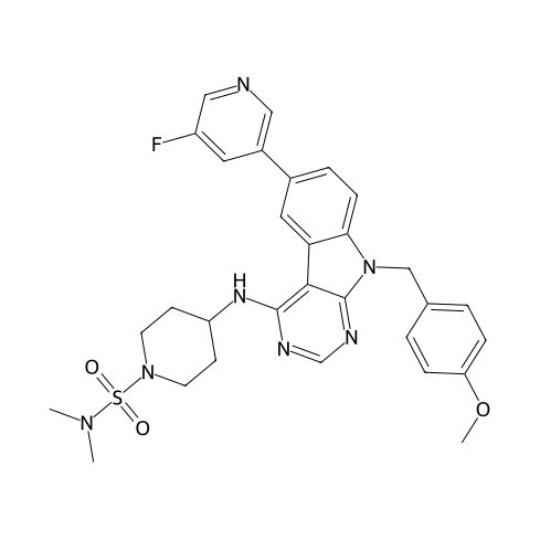 COc1ccc(Cn2c3ccc(-c4cncc(F)c4)cc3c3c(NC4CCN(S(=O)(=O)N(C)C)CC4)ncnc32)cc1